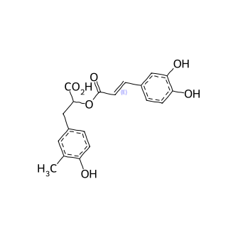 Cc1cc(CC(OC(=O)/C=C/c2ccc(O)c(O)c2)C(=O)O)ccc1O